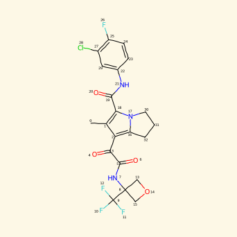 Cc1c(C(=O)C(=O)NC2(C(F)(F)F)COC2)c2n(c1C(=O)Nc1ccc(F)c(Cl)c1)CCC2